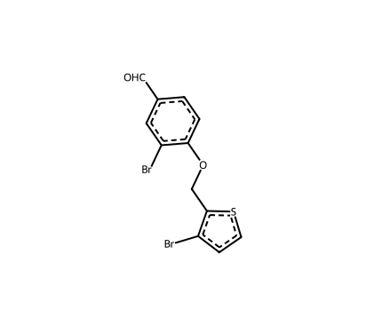 O=Cc1ccc(OCc2sccc2Br)c(Br)c1